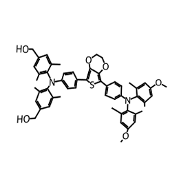 COc1cc(C)c(N(c2ccc(-c3sc(-c4ccc(N(c5c(C)cc(CO)cc5C)c5c(C)cc(CO)cc5C)cc4)c4c3OCCO4)cc2)c2c(C)cc(OC)cc2C)c(C)c1